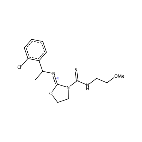 COCCNC(=S)N1CCO/C1=N\C(C)c1ccccc1Cl